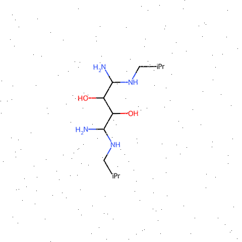 CC(C)CNC(N)C(O)C(O)C(N)NCC(C)C